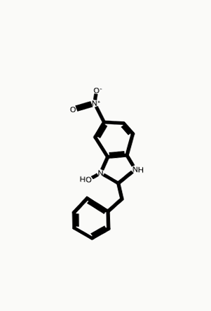 O=[N+]([O-])c1ccc2c(c1)N(O)C(Cc1ccccc1)N2